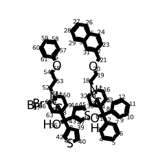 OC(c1ccccc1)(c1ccccc1)C12CC[N+](CCOCc3ccc4ccccc4c3)(CC1)CC2.OC(c1ccsc1)(c1ccsc1)C12CC[N+](CCCOc3ccccc3)(CC1)CC2.[Br-].[Br-]